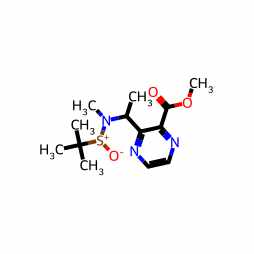 COC(=O)c1nccnc1C(C)N(C)[S+]([O-])C(C)(C)C